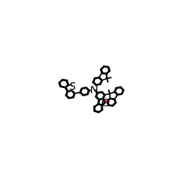 CC1(C)c2ccccc2-c2ccc(N(c3ccc(-c4cccc5c4sc4ccccc45)cc3)c3cc(C4(C)c5ccccc5-c5ccccc54)c4oc5ccccc5c4c3)cc21